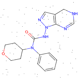 O=C(Nn1ncc2c1N=CNC2)N(c1ccccc1)C1CCOCC1